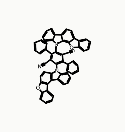 N#Cc1c(-c2ccccc2)c(-n2c3ccccc3c3ccc4c5ccccc5oc4c32)c(C#N)c(-c2ccccc2)c1-n1c2ccccc2c2c3c(ccc21)oc1ccccc13